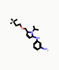 CC(C)N1C(COCC[Si](C)(C)C)C=CC1Nc1cccc(N)c1